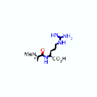 CN[C@@H](C)C(=O)N[C@@H](CCCNC(=N)N)C(=O)O